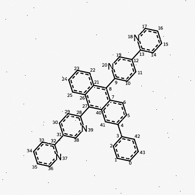 c1ccc(-c2ccc3c(-c4ccc(-c5ccccn5)cn4)c4ccccc4c(-c4ccc(-c5ccccn5)cn4)c3c2)cc1